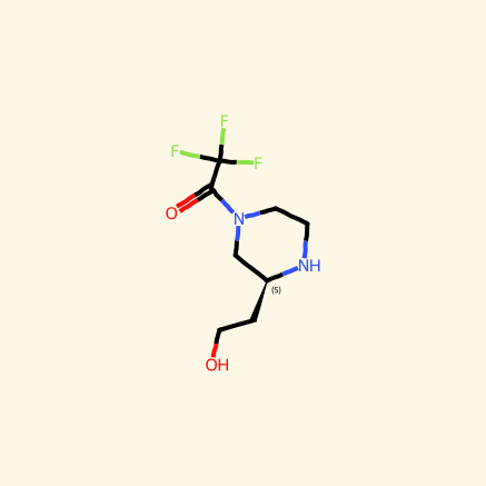 O=C(N1CCN[C@@H](CCO)C1)C(F)(F)F